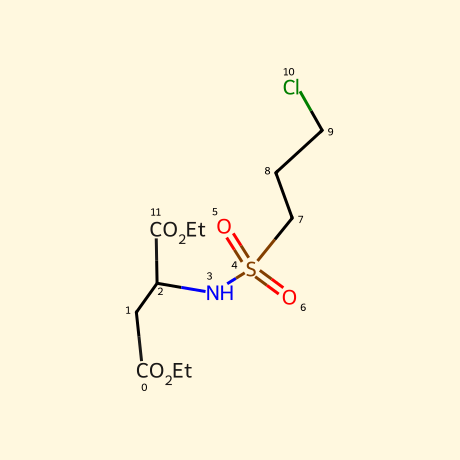 CCOC(=O)CC(NS(=O)(=O)CCCCl)C(=O)OCC